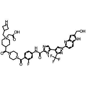 Cn1c(-c2cn(-c3ccc4[nH]c(CO)cc4n3)nc2C(F)(F)F)cnc1C(=O)Nc1ccc(C(=O)N2CCN(C(=O)C3CC[N+](CC(=O)O)(CC4CNC4)CC3)CC2)c(F)c1